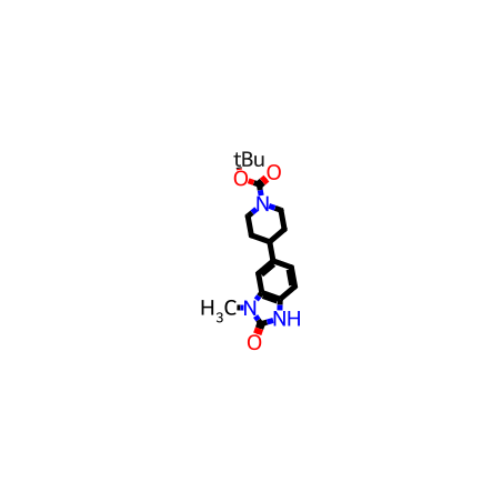 Cn1c(=O)[nH]c2ccc(C3CCN(C(=O)OC(C)(C)C)CC3)cc21